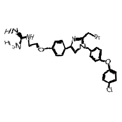 CC(C)Cc1nc(-c2ccc(OCCNC(=N)N)cc2)cn1-c1ccc(Oc2ccc(Cl)cc2)cc1